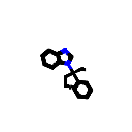 CC(C)(C)[C@](CC(=O)O)(c1ccccc1)n1cnc2ccccc21